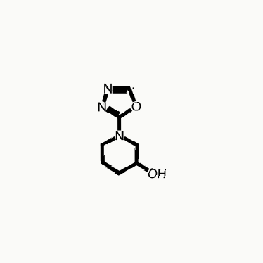 OC1CCCN(c2nn[c]o2)C1